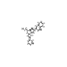 CC1CC2(CN(c3cccnc3)C2)c2cc(-c3cnc4ccccc4c3)nn21